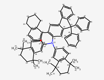 Cc1ccc2c(c1-c1cc3c(cc1N(c1ccc4c(c1)C(C)(C)CCC4(C)C)c1ccc4c(c1)C(C)(C)CCC4(C)C)C(c1ccccc1)(c1ccccc1)c1ccccc1-3)CCCC2